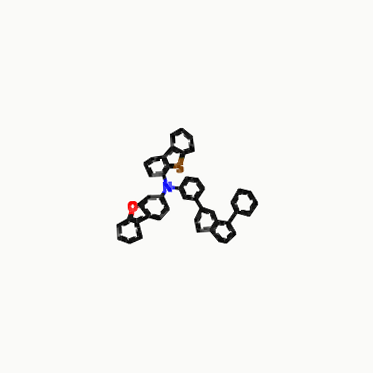 c1ccc(-c2cccc3ccc(-c4cccc(N(c5ccc6c(c5)oc5ccccc56)c5cccc6c5sc5ccccc56)c4)cc23)cc1